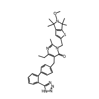 CCc1nc(C)n(Cc2cc3c(s2)C(C)(C)N(OC)C3(C)C)c(=O)c1Cc1ccc(-c2ccccc2-c2nnn[nH]2)cc1